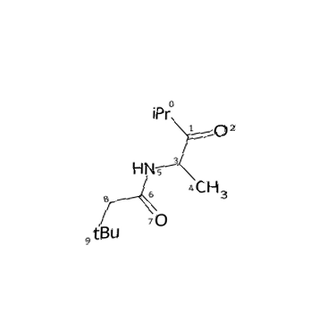 CC(C)C(=O)C(C)NC(=O)CC(C)(C)C